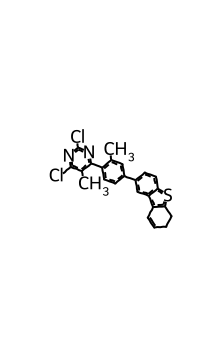 Cc1cc(-c2ccc3sc4c(c3c2)C=CCC4)ccc1-c1nc(Cl)nc(Cl)c1C